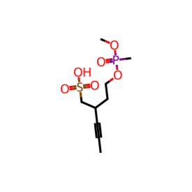 CC#CC(CCOP(C)(=O)OC)CS(=O)(=O)O